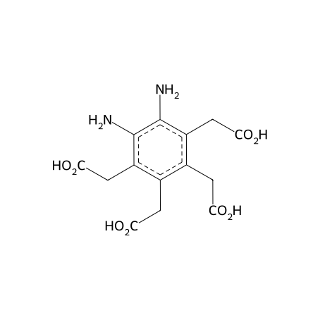 Nc1c(N)c(CC(=O)O)c(CC(=O)O)c(CC(=O)O)c1CC(=O)O